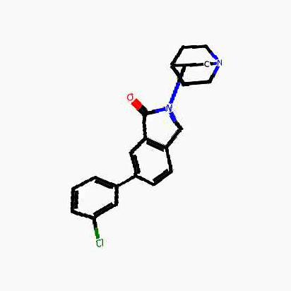 O=C1c2cc(-c3cccc(Cl)c3)ccc2CN1C1CN2CCC1CC2